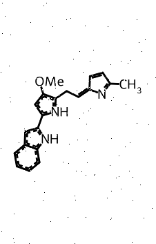 COc1cc(-c2cc3ccccc3[nH]2)[nH]c1CC=C1C=CC(C)=N1